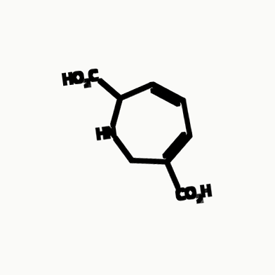 O=C(O)C1=CC=CC(C(=O)O)NC1